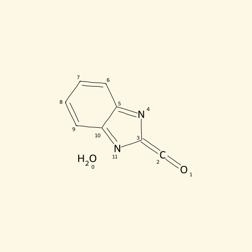 O.O=C=C1N=c2ccccc2=N1